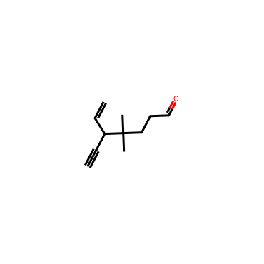 C#CC(C=C)C(C)(C)CCC=O